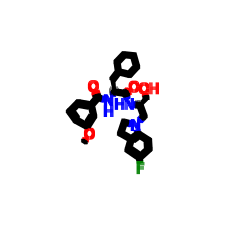 COc1cccc(C(=O)N[C@@H](CC2CCCCC2)C(=O)N[C@@H](CO)CN2CCc3cc(F)ccc32)c1